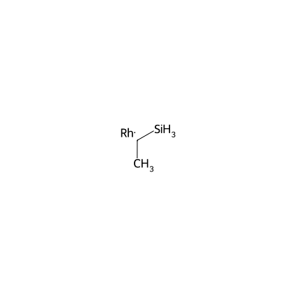 CC[SiH3].[Rh]